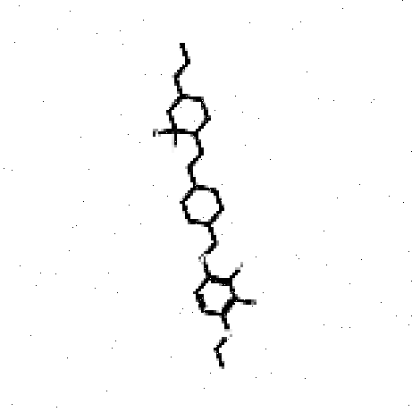 CCCC1CCC(CCC2CCC(COc3ccc(OCC)c(F)c3F)CC2)C(F)(F)C1